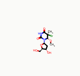 CO[C@@H]1N([C@H]2C[C@H](O)[C@@H](CO)O2)C(=O)NC(=O)[C@@]1(C)Br